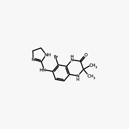 CC1(C)Nc2ccc(NC3=NCCN3)c(Br)c2NC1=O